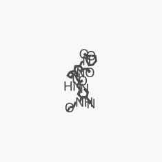 COCCNc1cc(NC(=O)N2c3nc(C=O)c(CN4CCCCOC4=O)cc3C3CC2C3)ncc1C#N